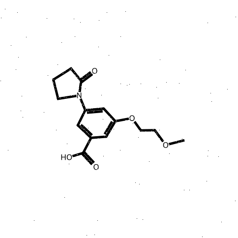 COCCOc1cc(C(=O)O)cc(N2CCCC2=O)c1